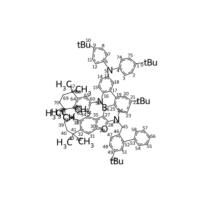 CC(C)(C)c1ccc(N(c2ccc(C(C)(C)C)cc2)c2ccc3c(c2)-c2cc(C(C)(C)C)cc4c2B(c2c(oc5cc6c(cc25)C(C)(C)CCC6(C)C)N4Cc2ccc(C(C)(C)C)cc2-c2ccccc2)N3c2ccc3c(c2)C(C)(C)CCC3(C)C)cc1